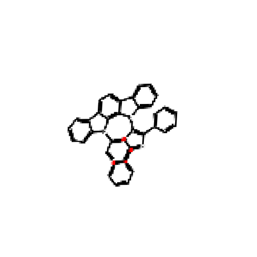 c1ccc(-c2nc(-c3ccccc3)c(-n3c4ccccc4c4ccc5c6ccccc6n(-c6cccnc6)c5c43)o2)cc1